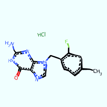 Cc1ccc(Cn2cnc3c(=O)[nH]c(N)nc32)c(F)c1.Cl